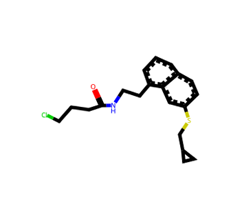 O=C(CCCCl)NCCc1cccc2ccc(SCC3CC3)cc12